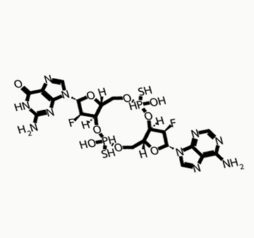 Nc1nc2c(ncn2[C@@H]2O[C@@H]3CO[PH](O)(S)O[C@H]4[C@@H](F)[C@H](n5cnc6c(N)ncnc65)O[C@@H]4CO[PH](O)(S)O[C@H]3[C@H]2F)c(=O)[nH]1